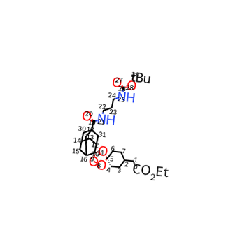 CCOC(=O)CC1CC[C@]2(CC1)OO[C@]1(O2)C2CC3CC1CC(C(=O)NCCCNC(=O)OC(C)(C)C)(C3)C2